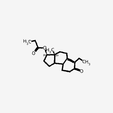 CCC(=O)O[C@@H]1CCC2C3CCC(=O)C(CC)=C3CC[C@]21C